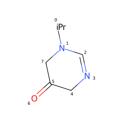 CC(C)N1C=NCC(=O)C1